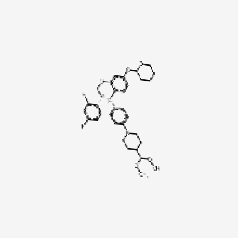 COC(OC)C1CCN(c2ccc([C@H]3c4ccc(OC5CCCCO5)cc4OC[C@H]3c3ccc(F)cc3F)cc2)CC1